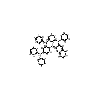 c1ccc(N(c2ccccc2)c2ccc3c(c2)N(c2ccccc2)c2cccc4c2B3c2cc3ccccc3cc2N4c2ccccc2)cc1